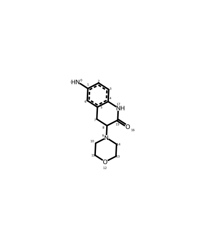 [NH]c1ccc2c(c1)CC(N1CCOCC1)C(=O)N2